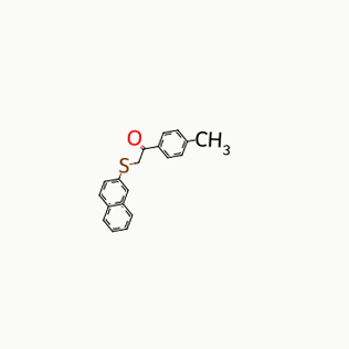 Cc1ccc(C(=O)CSc2ccc3ccccc3c2)cc1